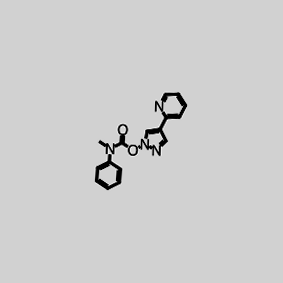 CN(C(=O)On1cc(-c2ccccn2)cn1)c1ccccc1